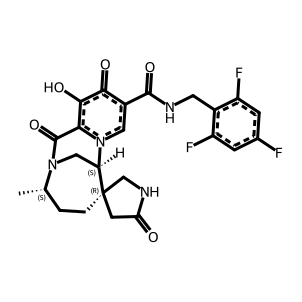 C[C@H]1CC[C@@]2(CNC(=O)C2)[C@H]2CN1C(=O)c1c(O)c(=O)c(C(=O)NCc3c(F)cc(F)cc3F)cn12